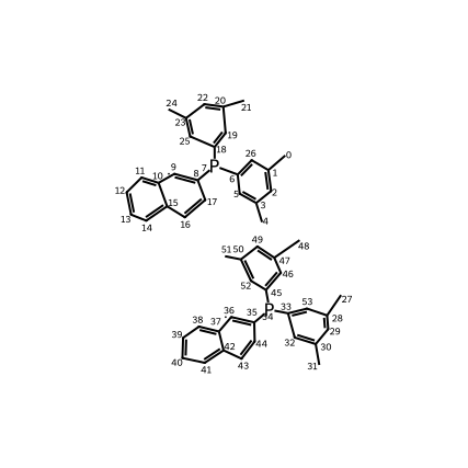 Cc1cc(C)cc(P(c2[c]c3ccccc3cc2)c2cc(C)cc(C)c2)c1.Cc1cc(C)cc(P(c2[c]c3ccccc3cc2)c2cc(C)cc(C)c2)c1